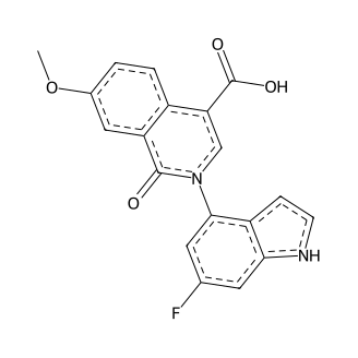 COc1ccc2c(C(=O)O)cn(-c3cc(F)cc4[nH]ccc34)c(=O)c2c1